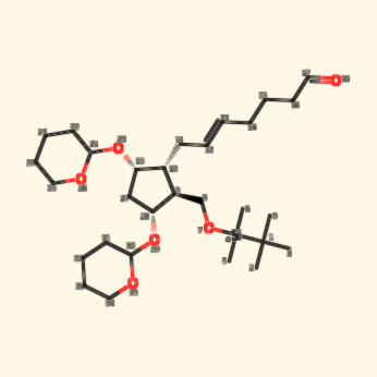 CC(C)(C)[Si](C)(C)OC[C@@H]1[C@@H](CC=CCCCC=O)[C@@H](OC2CCCCO2)C[C@H]1OC1CCCCO1